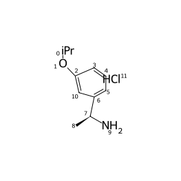 CC(C)Oc1cccc([C@H](C)N)c1.Cl